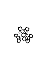 N#Cc1c(-n2c3ccccc3c3ccccc32)c2c3c(c1-n1c4ccccc4c4ccccc41)Oc1ccccc1B3c1ccccc1O2